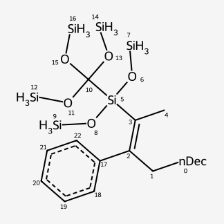 CCCCCCCCCCCC(=C(C)[Si](O[SiH3])(O[SiH3])C(O[SiH3])(O[SiH3])O[SiH3])c1ccccc1